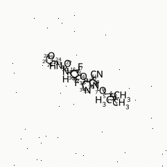 C[Si](C)(C)CCOCn1cc(C#N)c2c(Oc3c(F)cc(NC(=O)NCC4CCCO4)cc3F)ccnc21